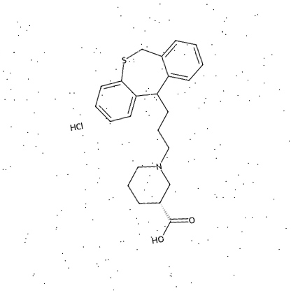 Cl.O=C(O)[C@@H]1CCCN(CCCC2c3ccccc3CSc3ccccc32)C1